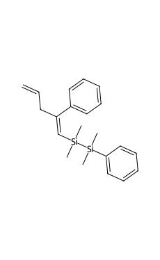 C=CC/C(=C/[Si](C)(C)[Si](C)(C)c1ccccc1)c1ccccc1